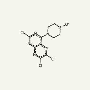 [O-][S+]1CCN(c2nc(Cl)nc3nc(Cl)c(Cl)nc23)CC1